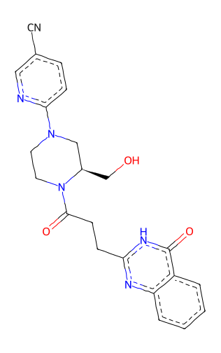 N#Cc1ccc(N2CCN(C(=O)CCc3nc4ccccc4c(=O)[nH]3)[C@H](CO)C2)nc1